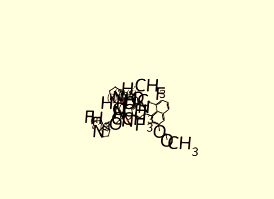 C#Cc1c(F)ccc2cc(OCOC)cc(-c3nc4c5c(nc(OC[C@@]67CCCN6C[C@H](F)C7)nc5c3F)N3C[C@H]5CC[C@@H]([C@H]3[C@H](CC)O4)N5C(=O)OC(C)(C)C)c12